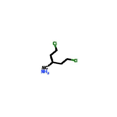 N.N#CC(CCCl)CCCl